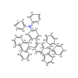 c1ccc(N(c2ccccc2)c2ccc3c4cc5c(cc4c4c6ccccc6c6ccccc6c4c3c2)-c2ccccc2C5(c2ccccc2)c2ccccc2)cc1